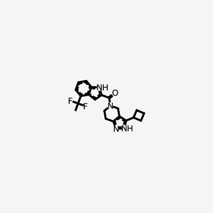 CC(F)(F)c1cccc2[nH]c(C(=O)N3CCc4n[nH]c(C5CCC5)c4C3)cc12